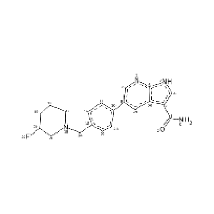 NC(=O)c1c[nH]c2ncc(-c3ccc(CN4CCCC(F)C4)cc3)cc12